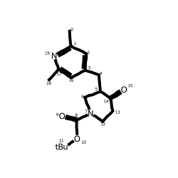 Cc1cc(CC2CN(C(=O)OC(C)(C)C)CCC2=O)cc(C)n1